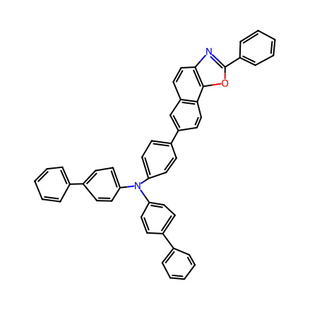 c1ccc(-c2ccc(N(c3ccc(-c4ccccc4)cc3)c3ccc(-c4ccc5c(ccc6nc(-c7ccccc7)oc65)c4)cc3)cc2)cc1